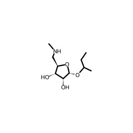 CCC(C)O[C@H]1O[C@H](CNC)[C@@H](O)[C@H]1O